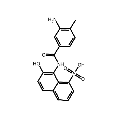 Cc1ccc(C(=O)Nc2c(O)ccc3cccc(S(=O)(=O)O)c23)cc1N